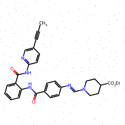 CC#Cc1ccc(NC(=O)c2ccccc2NC(=O)c2ccc(N=CN3CCC(C(=O)OCC)CC3)cc2)nc1